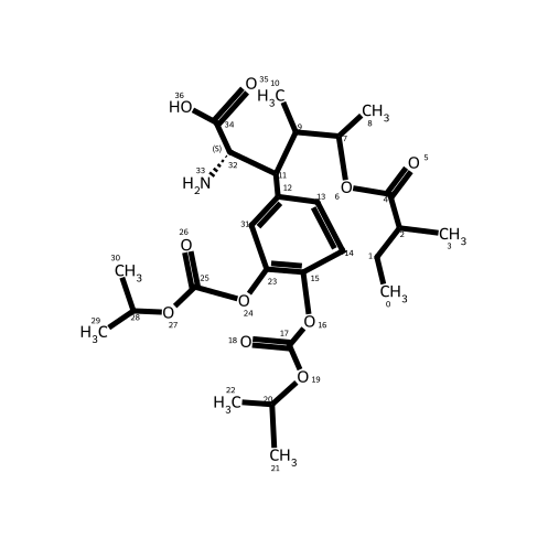 CCC(C)C(=O)OC(C)C(C)C(c1ccc(OC(=O)OC(C)C)c(OC(=O)OC(C)C)c1)[C@H](N)C(=O)O